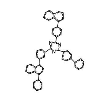 c1ccc(-c2ccc(-c3nc(-c4ccc(-c5cccc6ccccc56)cc4)nc(-c4cccc(-c5ccc(-c6ccccc6)c6ccccc56)c4)n3)cc2)cc1